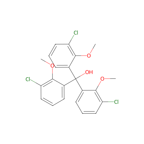 COc1c(Cl)cccc1C(O)(c1cccc(Cl)c1OC)c1cccc(Cl)c1OC